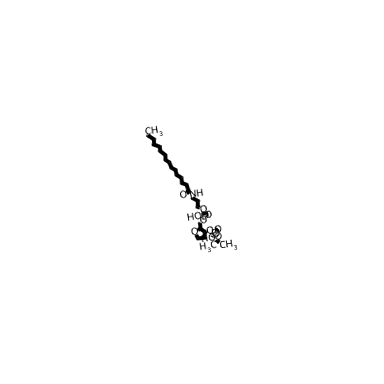 CCCCCCCCCCCCCCCC(=O)NCCCOP(=O)(O)OCC1OCCC1OP(=O)(O)OC(C)C